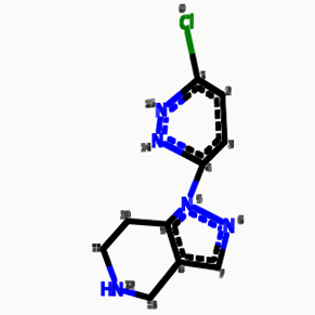 Clc1ccc(-n2ncc3c2CCNC3)nn1